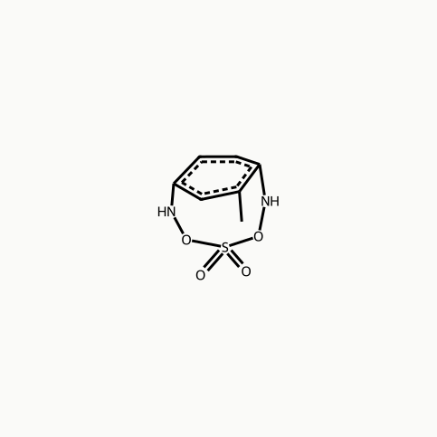 Cc1cc2ccc1NOS(=O)(=O)ON2